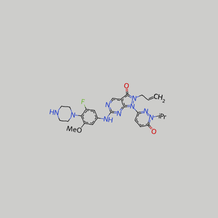 C=CCn1c(=O)c2cnc(Nc3cc(F)c(N4CCNCC4)c(OC)c3)nc2n1-c1ccc(=O)n(C(C)C)n1